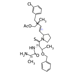 CC(=O)OC[C@@](C)(/C=C/C1CCCN1C(=S)[C@@H](NC(=O)[C@H](C)N)C(C)OCc1ccccc1)Cc1cccc(Cl)c1